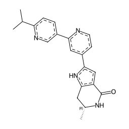 CC(C)c1ccc(-c2cc(-c3cc4c([nH]3)C[C@@H](C)NC4=O)ccn2)cn1